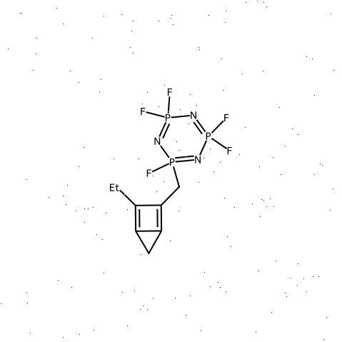 CCC1=C2CC2=C1CP1(F)=NP(F)(F)=NP(F)(F)=N1